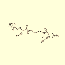 CCNC[C@H](NC(C)C)C(=O)NCCCNC(=O)[C@H](CCC(=O)O)NC(C)CC